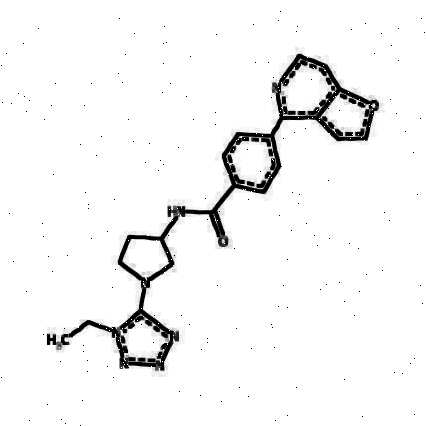 CCn1nnnc1N1CCC(NC(=O)c2ccc(-c3nccc4occc34)cc2)C1